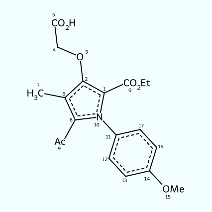 CCOC(=O)c1c(OCC(=O)O)c(C)c(C(C)=O)n1-c1ccc(OC)cc1